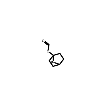 O=COC12CCC(CC1)N2